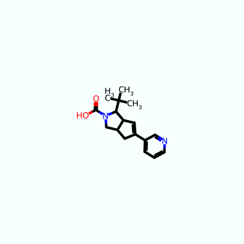 CC(C)(C)C1C2C=C(c3cccnc3)CC2CN1C(=O)O